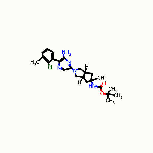 Cc1cccc(-c2ncc(N3C[C@@H]4CC(C)(NC(=O)OC(C)(C)C)C[C@@H]4C3)nc2N)c1Cl